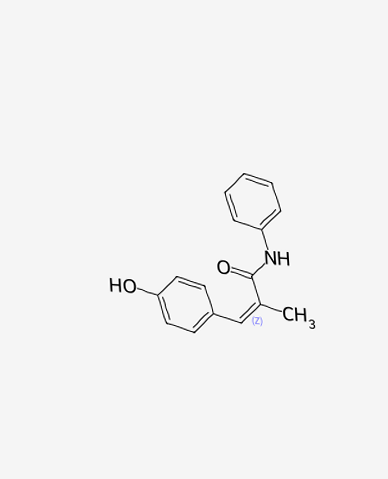 C/C(=C/c1ccc(O)cc1)C(=O)Nc1ccccc1